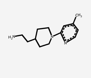 Cc1ccnc(N2CCC(CCN)CC2)c1